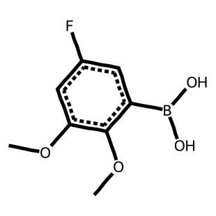 COc1cc(F)cc(B(O)O)c1OC